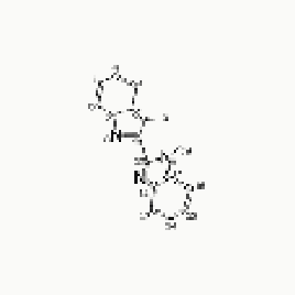 CC1=C2C=CC=CC2N=C1c1nc2ccccc2n1C